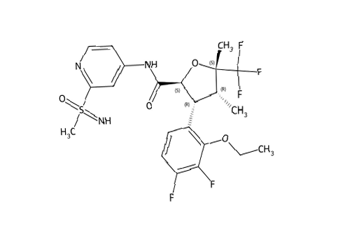 CCOc1c([C@@H]2[C@@H](C(=O)Nc3ccnc(S(C)(=N)=O)c3)O[C@](C)(C(F)(F)F)[C@@H]2C)ccc(F)c1F